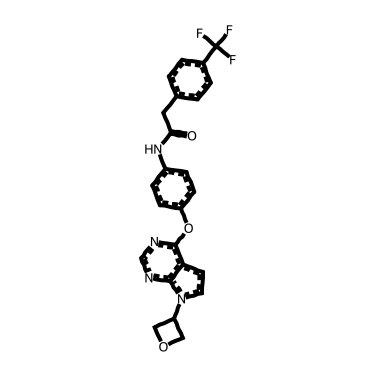 O=C(Cc1ccc(C(F)(F)F)cc1)Nc1ccc(Oc2ncnc3c2ccn3C2COC2)cc1